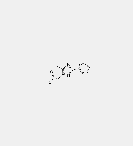 COC(=O)Cc1nn(-c2ccccc2)nc1C